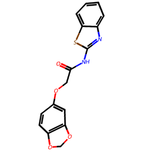 O=C(COc1ccc2c(c1)OCO2)Nc1nc2ccccc2s1